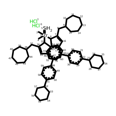 Cl.Cl.[CH3][Zr]([CH3])(=[SiH2])([CH]1C(CC2CCCCCC2)=Cc2c(-c3ccc(C4CCCCC4)cc3)cccc21)[CH]1C(CC2CCCCCC2)=Cc2c(-c3ccc(C4CCCCC4)cc3)cccc21